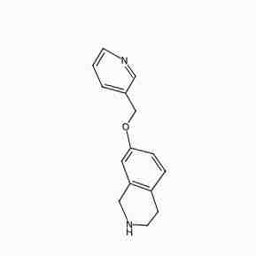 c1cncc(COc2ccc3c(c2)CNCC3)c1